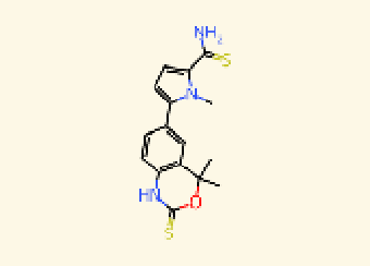 Cn1c(C(N)=S)ccc1-c1ccc2c(c1)C(C)(C)OC(=S)N2